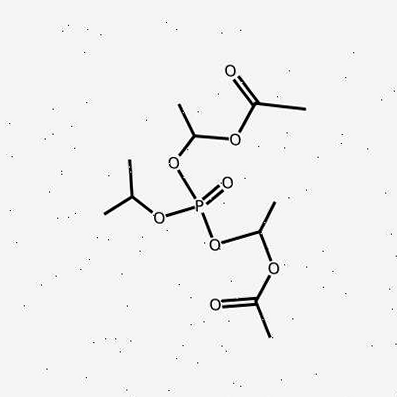 CC(=O)OC(C)OP(=O)(OC(C)C)OC(C)OC(C)=O